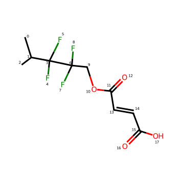 CC(C)C(F)(F)C(F)(F)COC(=O)C=CC(=O)O